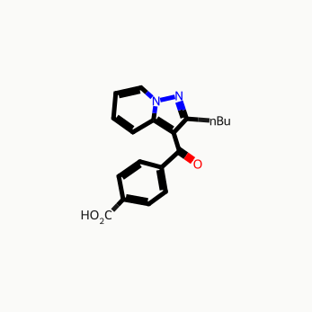 CCCCc1nn2ccccc2c1C(=O)c1ccc(C(=O)O)cc1